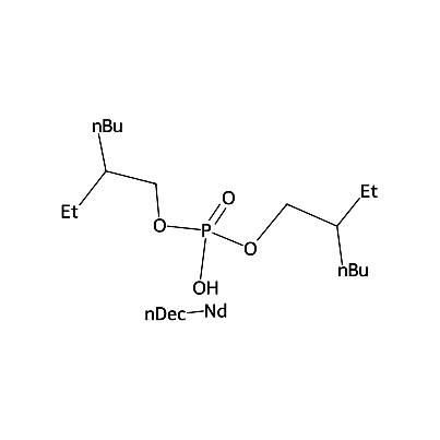 CCCCC(CC)COP(=O)(O)OCC(CC)CCCC.CCCCCCCCC[CH2][Nd]